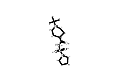 CC(C)(C)N1CCC(C(=O)NS(=O)(=O)N2CCCC2)CC1